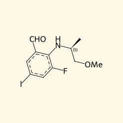 COC[C@H](C)Nc1c(F)cc(I)cc1C=O